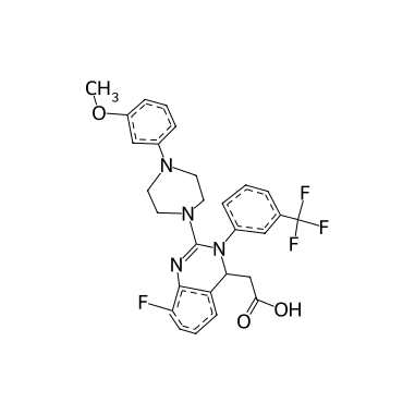 COc1cccc(N2CCN(C3=Nc4c(F)cccc4C(CC(=O)O)N3c3cccc(C(F)(F)F)c3)CC2)c1